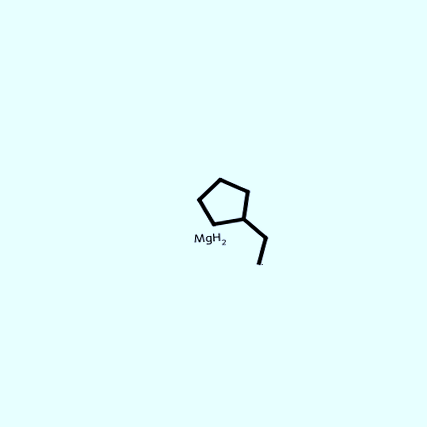 [CH2]CC1CCCC1.[MgH2]